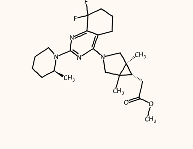 COC(=O)C[C@@H]1C2(C)CN(c3nc(N4CCCC[C@@H]4C)nc4c3CCCC4(F)F)C[C@@]12C